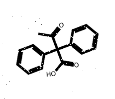 CC(=O)C(C(=O)O)(c1ccccc1)c1ccccc1